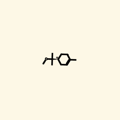 COC(C)(C)[C@@H]1C[CH]C(C)=CC1